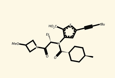 CC[C@@H](C(=O)N1CC(OC)C1)N(c1cc(C#CC(C)(C)C)sc1C(=O)O)C(=O)[C@H]1CC[C@H](C)CC1